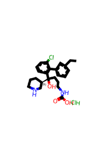 CCc1cccc(-c2c(Cl)cccc2C(O)(CCCNC(=O)O)[C@@H]2CCCNC2)c1.Cl